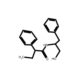 CCC(C(=O)NC(CO)Cc1ccccc1)c1ccccc1